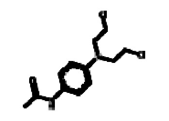 CC(=O)Nc1ccc(N(CCCl)CCCl)cc1